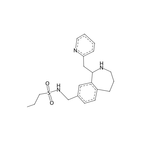 CCCS(=O)(=O)NCc1ccc2c(c1)C(Cc1ccccn1)NCCC2